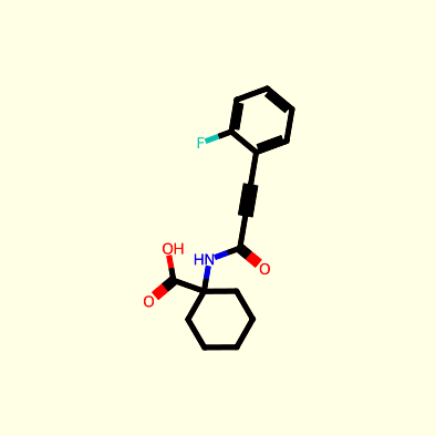 O=C(C#Cc1ccccc1F)NC1(C(=O)O)CCCCC1